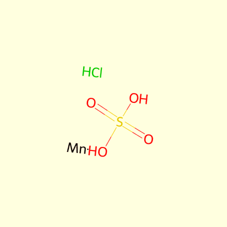 Cl.O=S(=O)(O)O.[Mn]